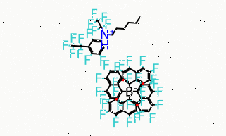 CCCCCC[NH+](c1cc(F)c(F)c(C(F)(F)C(F)(F)F)c1F)C(F)(F)C(F)(F)F.Fc1c(F)c(F)c2c([B-](c3c(F)c(F)c(F)c4c(F)c(F)c(F)c(F)c34)(c3c(F)c(F)c(F)c4c(F)c(F)c(F)c(F)c34)c3c(F)c(F)c(F)c4c(F)c(F)c(F)c(F)c34)c(F)c(F)c(F)c2c1F